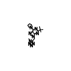 Cn1nnnc1Cn1cnc2c(N3CCCC3)nc(C(C)(C)C)nc21